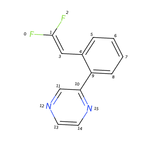 FC(F)=Cc1ccccc1-c1cnccn1